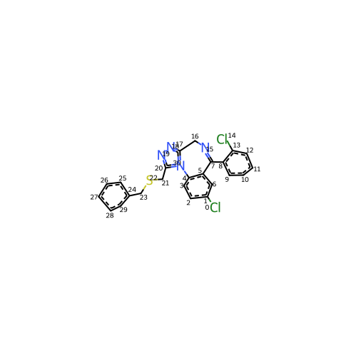 Clc1ccc2c(c1)C(c1ccccc1Cl)=NCc1nnc(CSCc3ccccc3)n1-2